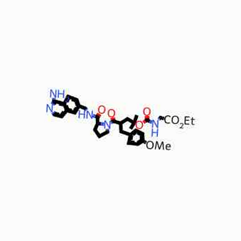 CCOC(=O)CNC(=O)OC(C)(C)CC(Cc1ccc(OC)cc1)C(=O)N1CCCC1C(=O)NCc1ccc2c(N)nccc2c1